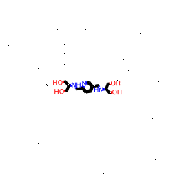 OCC(CO)NCc1ccc(CNC(CO)CO)nc1